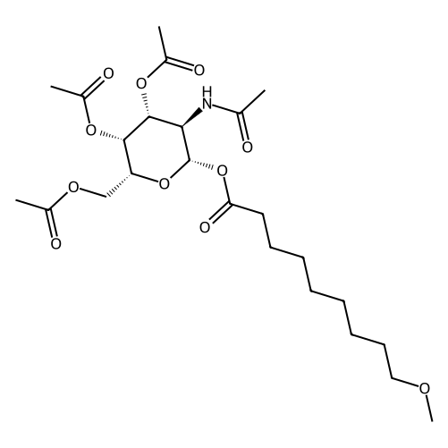 COCCCCCCCCC(=O)O[C@@H]1O[C@H](COC(C)=O)[C@H](OC(C)=O)[C@H](OC(C)=O)[C@H]1NC(C)=O